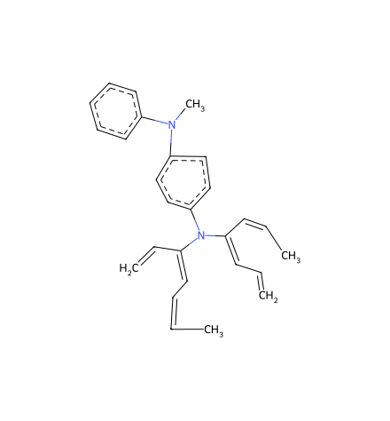 C=C/C=C(\C=C/C)N(/C(C=C)=C/C=C\C)c1ccc(N(C)c2ccccc2)cc1